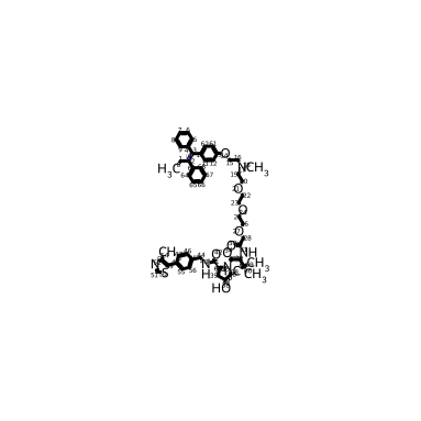 CC/C(=C(\c1ccccc1)c1ccc(OCCN(C)CCOCCOCCOCC(=O)N[C@H](C(=O)N2C[C@H](O)C[C@H]2C(=O)NCc2ccc(-c3scnc3C)cc2)C(C)(C)C)cc1)c1ccccc1